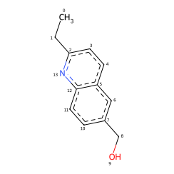 CCc1ccc2cc(CO)ccc2n1